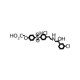 Cl.O=C(O)COc1ccc(S(=O)(=O)c2ccc(CCNC[C@H](O)c3cccc(Cl)c3)cc2)cc1